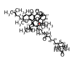 CC(C)=CCCC1(C)C=Cc2c(O)c3c(c(CC=C(C)C)c2O1)OC12C(=CC4CC1C(C)(C)OC2(C/C=C(/C)C(=O)NCCNC(=O)CCCCC1SC[C@@H]2NC(=O)N[C@H]12)C4=O)C3=O